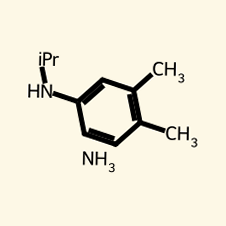 Cc1ccc(NC(C)C)cc1C.N